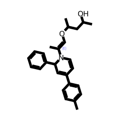 C/C(=C\OC(C)CC(C)O)N1C=CC(c2ccc(C)cc2)=CC1c1ccccc1